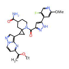 C=C(OCC)c1ccn2ncc(C3CC34CC(C(N)=O)CCN4C(=O)c3cc(-c4cc(OC)ncc4F)[nH]n3)c2n1